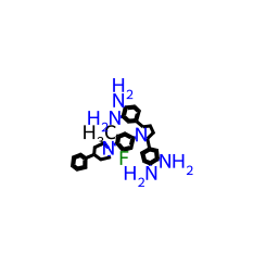 Cc1cc(N2C(c3ccc(N)c(N)c3)CCC2c2ccc(N)c(N)c2)cc(F)c1N1CCC(c2ccccc2)CC1